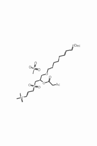 CCCCCCCCCCCCCCCCCCOCC(CS(=O)(=O)CCC[N+](C)(C)C)OC(=O)CC(C)=O.CS(=O)(=O)[O-]